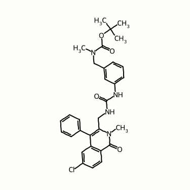 CN(Cc1cccc(NC(=O)NCc2c(-c3ccccc3)c3cc(Cl)ccc3c(=O)n2C)c1)C(=O)OC(C)(C)C